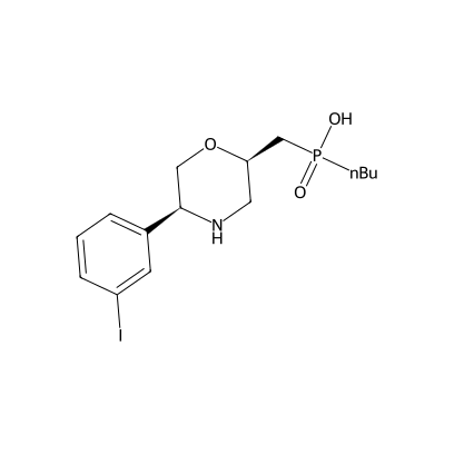 CCCCP(=O)(O)C[C@H]1CN[C@@H](c2cccc(I)c2)CO1